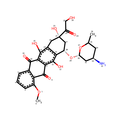 COc1cccc2c1C(=O)c1c(O)c3c(c(O)c1C2=O)C[C@@](O)(C(=O)CO)C[C@@H]3O[C@H]1C[C@H](N)CC(C)O1